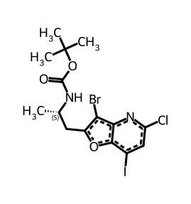 C[C@@H](Cc1oc2c(I)cc(Cl)nc2c1Br)NC(=O)OC(C)(C)C